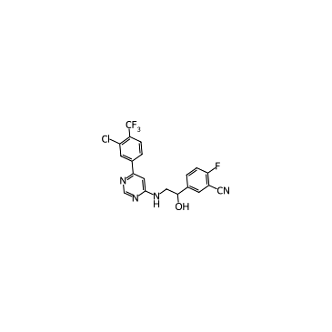 N#Cc1cc(C(O)CNc2cc(-c3ccc(C(F)(F)F)c(Cl)c3)ncn2)ccc1F